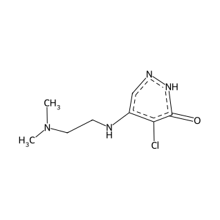 CN(C)CCNc1cn[nH]c(=O)c1Cl